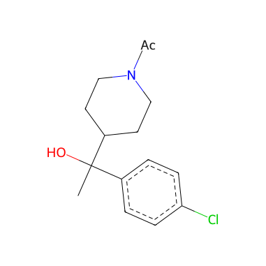 CC(=O)N1CCC(C(C)(O)c2ccc(Cl)cc2)CC1